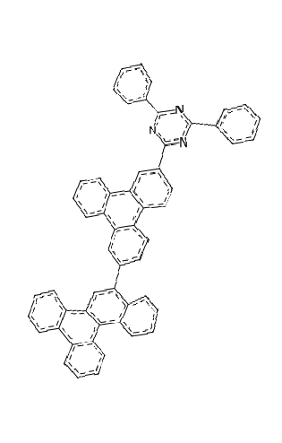 c1ccc(-c2nc(-c3ccccc3)nc(-c3ccc4c5ccc(-c6cc7c8ccccc8c8ccccc8c7c7ccccc67)cc5c5ccccc5c4c3)n2)cc1